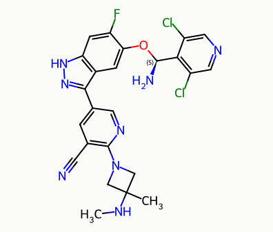 CNC1(C)CN(c2ncc(-c3n[nH]c4cc(F)c(O[C@H](N)c5c(Cl)cncc5Cl)cc34)cc2C#N)C1